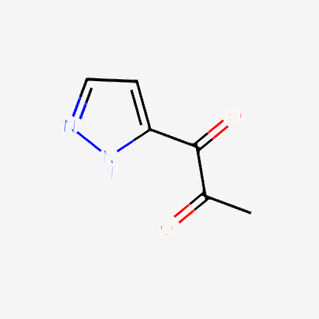 CC(=O)C(=O)c1ccn[nH]1